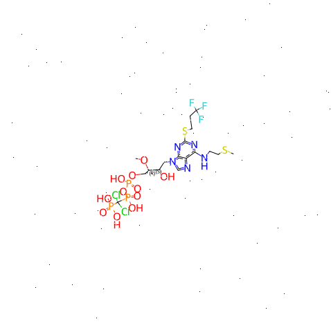 CO[C@H](COP(=O)(O)OP(=O)(O)C(Cl)(Cl)P(=O)(O)O)[C@@H](O)Cn1cnc2c(NCCSC)nc(SCCC(F)(F)F)nc21